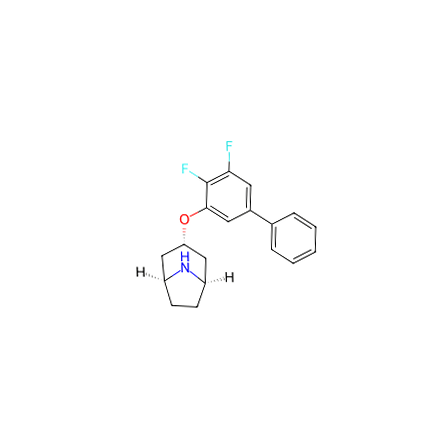 Fc1cc(-c2ccccc2)cc(O[C@@H]2C[C@H]3CC[C@@H](C2)N3)c1F